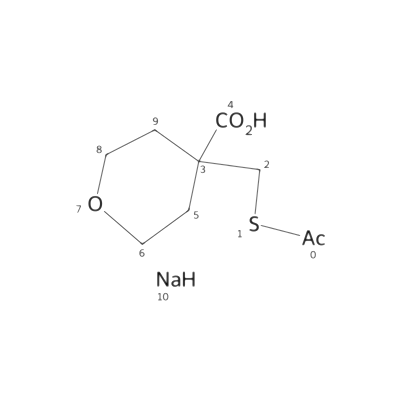 CC(=O)SCC1(C(=O)O)CCOCC1.[NaH]